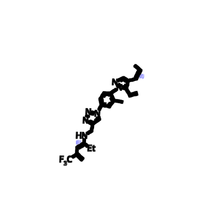 C=Cc1c(/C=C\C)cnn1-c1ccc(-n2cc(CN/C(=C/C(=C)C(F)(F)F)CC)nn2)cc1C